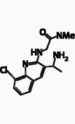 CNC(=O)CNc1nc2c(Cl)cccc2cc1C(C)N